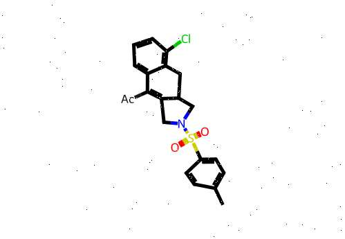 CC(=O)C1=C2CN(S(=O)(=O)c3ccc(C)cc3)CC2Cc2c(Cl)cccc21